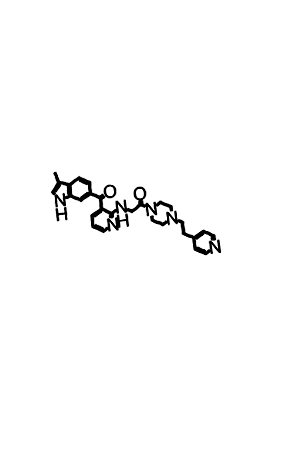 Cc1c[nH]c2cc(C(=O)c3cccnc3NCC(=O)N3CCN(CCc4ccncc4)CC3)ccc12